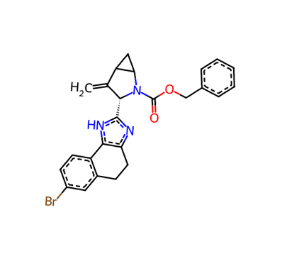 C=C1C2CC2N(C(=O)OCc2ccccc2)[C@@H]1c1nc2c([nH]1)-c1ccc(Br)cc1CC2